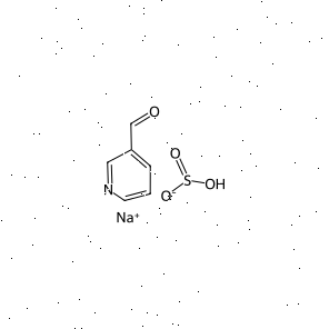 O=Cc1cccnc1.O=S([O-])O.[Na+]